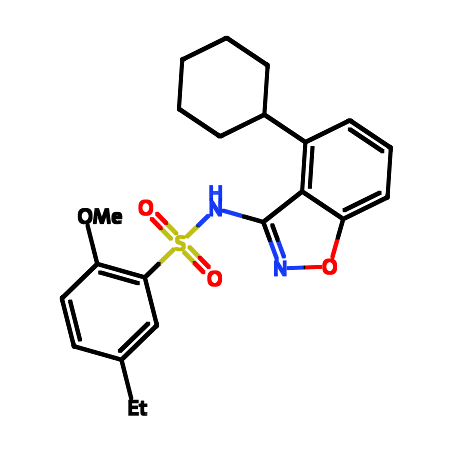 CCc1ccc(OC)c(S(=O)(=O)Nc2noc3cccc(C4CCCCC4)c23)c1